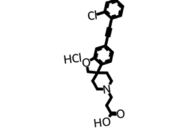 Cl.O=C(O)CCN1CCC2(CC1)COc1cc(C#Cc3ccccc3Cl)ccc12